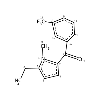 Cn1c(CC#N)ccc1C(=O)c1cccc(C(F)(F)F)c1